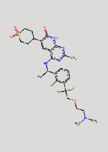 Cc1nc(N[C@H](C)c2cccc(C(F)(F)COCCN(C)C)c2F)c2cc(C3CCS(=O)(=O)CC3)c(=O)[nH]c2n1